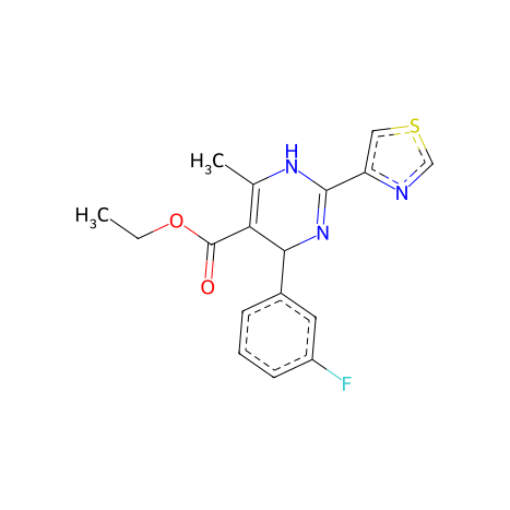 CCOC(=O)C1=C(C)NC(c2cscn2)=NC1c1cccc(F)c1